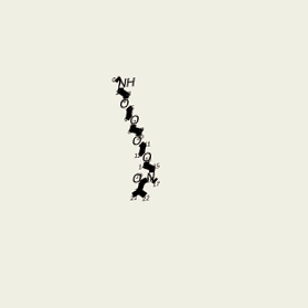 CNCCOCCOCCOCCOCCN(C)C(=O)C(C)C